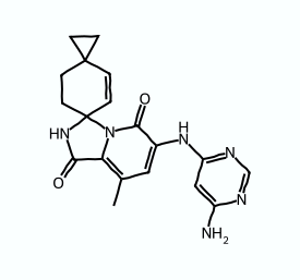 Cc1cc(Nc2cc(N)ncn2)c(=O)n2c1C(=O)NC21C=CC2(CC2)CC1